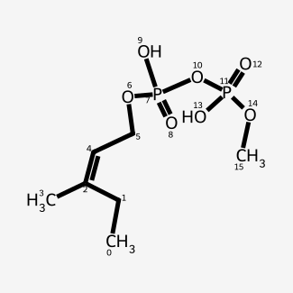 CC/C(C)=C\COP(=O)(O)OP(=O)(O)OC